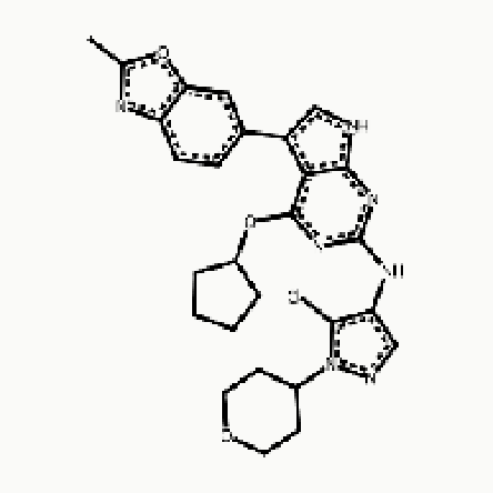 Cc1nc2ccc(-c3c[nH]c4nc(Nc5cnn(C6CCOCC6)c5Cl)nc(OC5CCCC5)c34)cc2o1